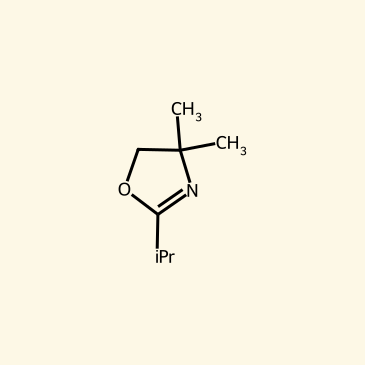 CC(C)C1=NC(C)(C)CO1